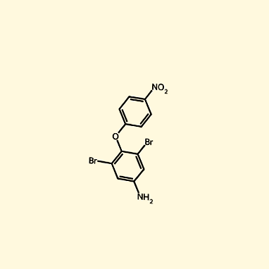 Nc1cc(Br)c(Oc2ccc([N+](=O)[O-])cc2)c(Br)c1